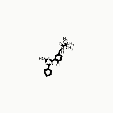 CC(C)(C)C(=O)NCc1ccc(Cl)c(-c2nc(O)nc(-c3ccccc3)n2)c1